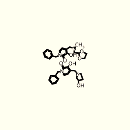 CN(Cc1ccn(Cc2ccccc2)c(=O)c1O)CC1OCCO1.O=c1c(O)c(CN2CCC(O)C2)ccn1Cc1ccccc1